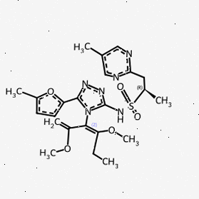 C=C(OC)/C(=C(\CC)OC)n1c(NS(=O)(=O)[C@H](C)Cc2ncc(C)cn2)nnc1-c1ccc(C)o1